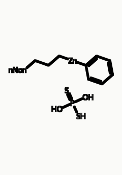 CCCCCCCCCCC[CH2][Zn][c]1ccccc1.OP(O)(=S)S